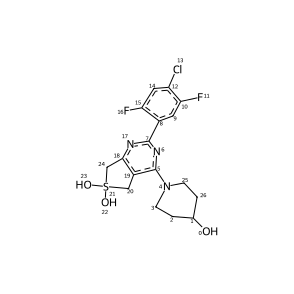 OC1CCN(c2nc(-c3cc(F)c(Cl)cc3F)nc3c2CS(O)(O)C3)CC1